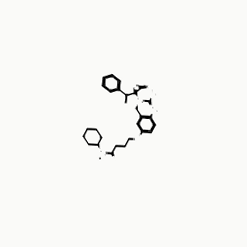 CC(c1ccccc1)C1(N2Cc3cc(OCCCC(=O)N(C)C4CCCCC4)ccc3N=C2N)OC1=O